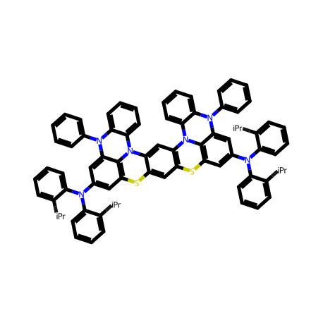 CC(C)c1ccccc1N(c1cc2sc3cc4sc5cc(N(c6ccccc6C(C)C)c6ccccc6C(C)C)cc6c5n(c4cc3n3c4ccccc4n(-c4ccccc4)c(c1)c23)c1ccccc1n6-c1ccccc1)c1ccccc1C(C)C